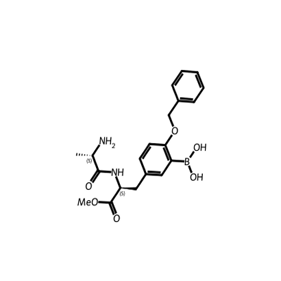 COC(=O)[C@H](Cc1ccc(OCc2ccccc2)c(B(O)O)c1)NC(=O)[C@H](C)N